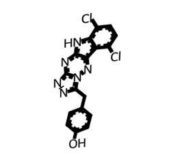 Oc1ccc(Cc2nnc3nc4[nH]c5c(Cl)ccc(Cl)c5c4nn23)cc1